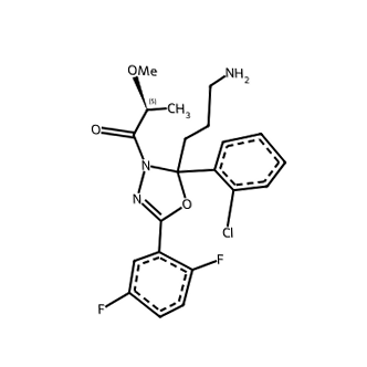 CO[C@@H](C)C(=O)N1N=C(c2cc(F)ccc2F)OC1(CCCN)c1ccccc1Cl